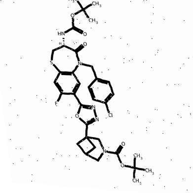 CC(C)(C)OC(=O)N[C@H]1CSc2cc(F)c(-c3nnc(C45CC(CN(C(=O)OC(C)(C)C)C4)C5)o3)cc2N(Cc2ccc(Cl)cc2)C1=O